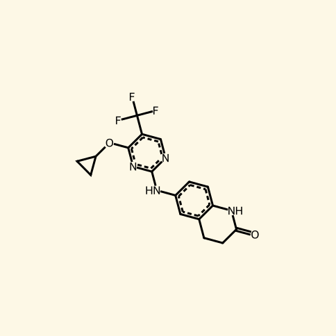 O=C1CCc2cc(Nc3ncc(C(F)(F)F)c(OC4CC4)n3)ccc2N1